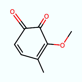 COC1=C(C)C=CC(=O)C1=O